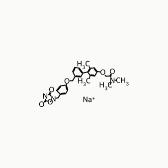 Cc1cc(OCC(=O)N(C)C)cc(C)c1-c1cccc(COc2ccc(Cn3oc(=O)[n-]c3=O)cc2)c1.[Na+]